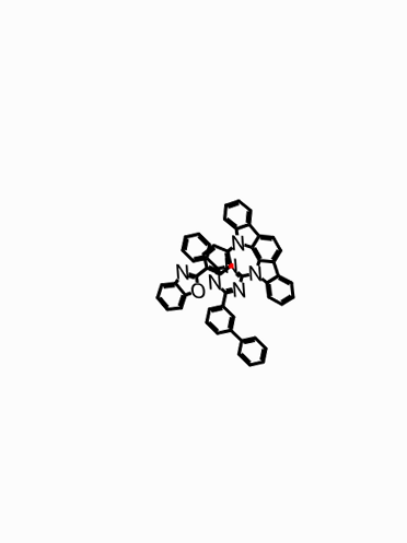 c1ccc(-c2cccc(-c3nc(-c4ccccc4)nc(-n4c5ccccc5c5ccc6c7ccccc7n(-c7ccc(-c8nc9ccccc9o8)cc7)c6c54)n3)c2)cc1